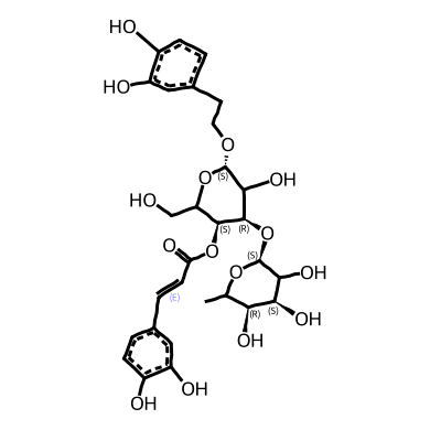 CC1O[C@@H](O[C@@H]2C(O)[C@@H](OCCc3ccc(O)c(O)c3)OC(CO)[C@@H]2OC(=O)/C=C/c2ccc(O)c(O)c2)C(O)[C@@H](O)[C@H]1O